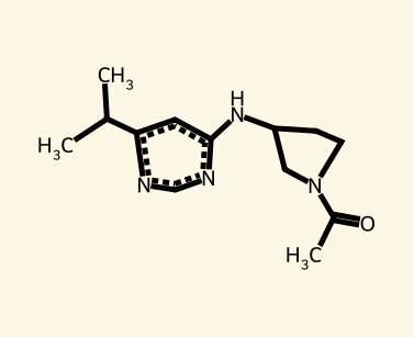 CC(=O)N1CCC(Nc2cc(C(C)C)ncn2)C1